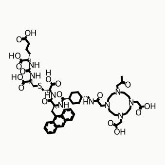 CC(=O)CN1CCN(CC(=O)O)CCN(CC(=O)O)CCN(CC(=O)NC[C@H]2CC[C@H](C(=O)N[C@@H](Cc3c4ccccc4cc4ccccc34)C(=O)N[C@H](CSC[C@H](NC(=O)N[C@@H](CCCC(=O)O)C(=O)O)C(=O)O)C(=O)O)CC2)CC1